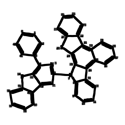 c1ccc(-c2nc(-n3c4ccccc4c4c5ccccc5c5c6ccccc6sc5c43)cc3c2sc2ccccc23)cc1